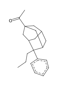 CCCC1(c2ccccc2)C2CC3CC1CC(C(C)=O)(C3)C2